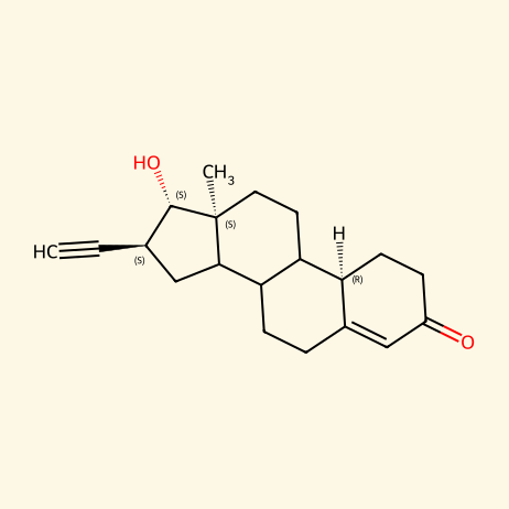 C#C[C@@H]1CC2C3CCC4=CC(=O)CC[C@@H]4C3CC[C@]2(C)[C@H]1O